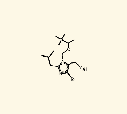 CC(C)Cc1nc(Br)c(CO)n1COC(C)[Si](C)(C)C